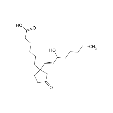 CCCCCC(O)C=CC1(CCCCCC(=O)O)CCC(=O)C1